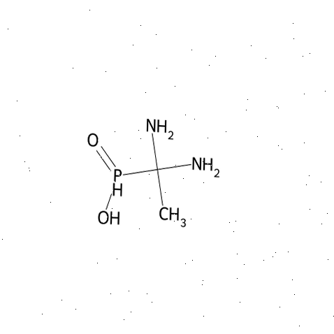 CC(N)(N)[PH](=O)O